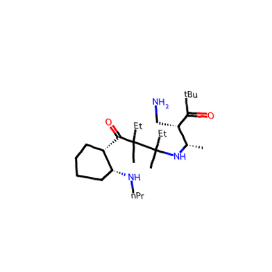 CCCN[C@@H]1CCCC[C@@H]1C(=O)C(C)(CC)C(C)(CC)N[C@@H](C)[C@H](CN)C(=O)C(C)(C)C